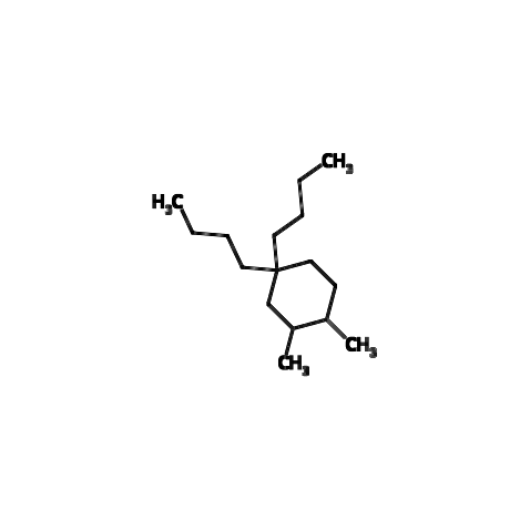 CCCCC1(CCCC)CCC(C)C(C)C1